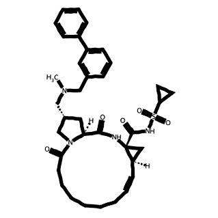 CN(Cc1cccc(-c2ccccc2)c1)C[C@@H]1C[C@H]2C(=O)N[C@]3(C(=O)NS(=O)(=O)C4CC4)C[C@H]3/C=C\CCCCCCC(=O)N2C1